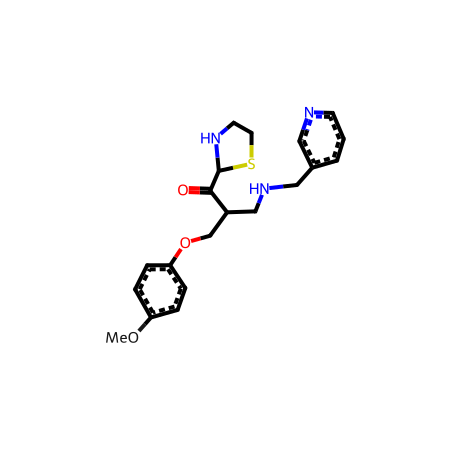 COc1ccc(OCC(CNCc2cccnc2)C(=O)C2NCCS2)cc1